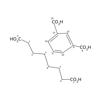 O=C(O)CCCCCCC(=O)O.O=C(O)c1cccc(C(=O)O)c1